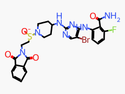 NC(=O)c1c(F)cccc1Nc1nc(NC2CCN([S+]([O-])CCN3C(=O)c4ccccc4C3=O)CC2)ncc1Br